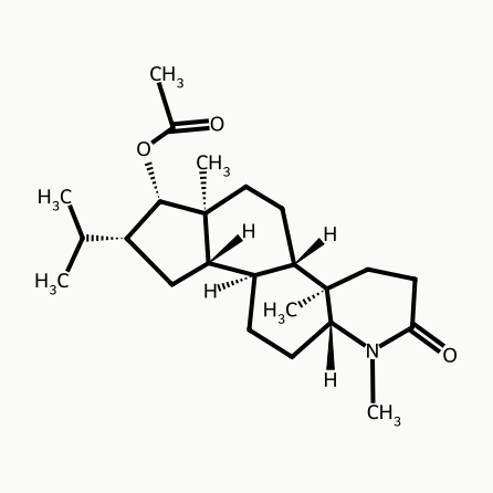 CC(=O)O[C@H]1[C@@H](C(C)C)C[C@H]2[C@@H]3CC[C@H]4N(C)C(=O)CC[C@]4(C)[C@H]3CC[C@@]21C